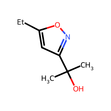 CCc1cc(C(C)(C)O)no1